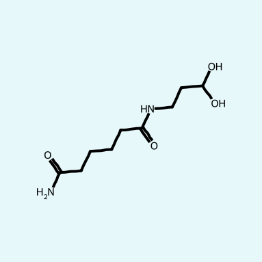 NC(=O)CCCCC(=O)NCCC(O)O